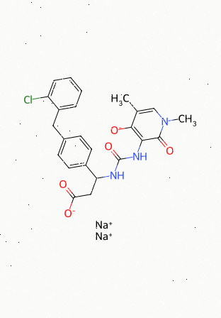 Cc1cn(C)c(=O)c(NC(=O)NC(CC(=O)[O-])c2ccc(Cc3ccccc3Cl)cc2)c1[O-].[Na+].[Na+]